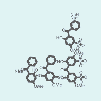 COc1cc(O)c(C(=O)c2cc(S(=O)(=O)[O-])c(OC)cc2O)cc1S(=O)(=O)[O-].COc1cc(O)c(C(=O)c2ccccc2)cc1S(=O)(=O)O.COc1cc(O)c(C(=O)c2ccccc2)cc1S(=O)(=O)[O-].COc1ccc(C(=O)c2ccccc2)c(O)c1.[Na+].[Na+].[Na+].[NaH]